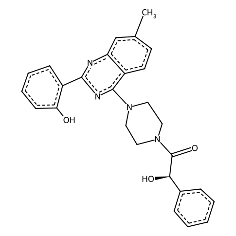 Cc1ccc2c(N3CCN(C(=O)[C@H](O)c4ccccc4)CC3)nc(-c3ccccc3O)nc2c1